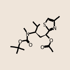 CC(=O)O[C@@H](C[C@H](C(C)C)N(C)C(=O)OC(C)(C)C)c1nc(C)cs1